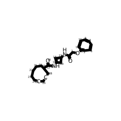 O=C(COC1=C/C=C\C=C/C=C\1)NC12CC(NC(=O)C3CCCCCCCCC3)(C1)C2